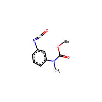 CN(C(=O)OC(C)(C)C)c1cccc(N=C=O)c1